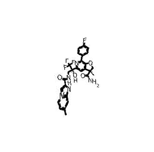 Cc1ccn2cc(C(=O)NC[C@](O)(c3cc4c(c(-c5ccc(F)cc5)n3)OC[C@]4(C)C(N)=O)C(F)(F)F)nc2c1